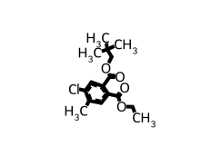 CCOC(=O)c1cc(C)c(Cl)cc1C(=O)OCC(C)(C)C